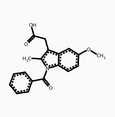 COc1ccc2c(c1)c(CC(=O)O)c(C)n2C(=O)c1ccccc1